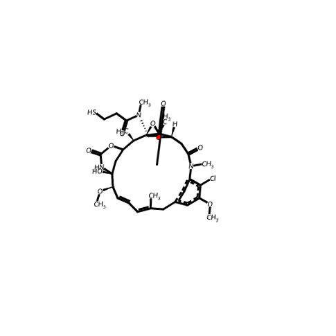 COc1cc2cc(c1Cl)N(C)C(=O)C[C@@H]1OC(=O)[C@H](N(C)C(=O)CCS)[C@]3(O[C@]13C)[C@H](C)C1C[C@@](O)(NC(=O)O1)[C@H](OC)/C=C/C=C(\C)C2